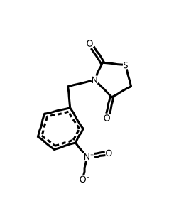 O=C1CSC(=O)N1Cc1cccc([N+](=O)[O-])c1